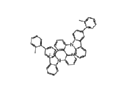 Cc1ccccc1-c1ccc2c(c1)c1ccccc1n2-c1cccnc1-c1c(-n2c3ccccc3c3cc(-c4ccccc4C)ccc32)cccc1C(F)(F)F